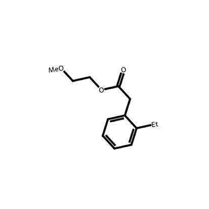 CCc1ccccc1CC(=O)OCCOC